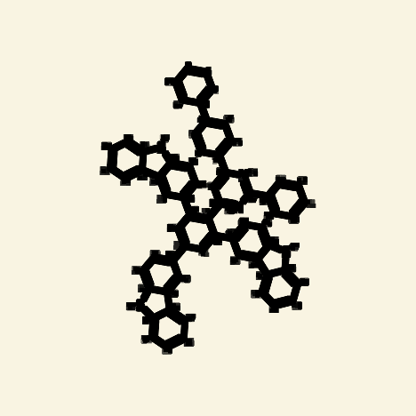 c1ccc(-c2ccc(-c3cc(-c4c(-c5ccc6sc7ccccc7c6c5)cc(-c5ccc6sc7ccccc7c6c5)cc4-c4ccc5sc6ccccc6c5c4)nc(-c4ccccc4)n3)cc2)cc1